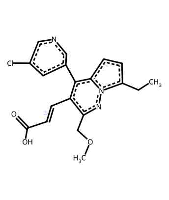 CCc1ccc2c(-c3cncc(Cl)c3)c(/C=C/C(=O)O)c(COC)nn12